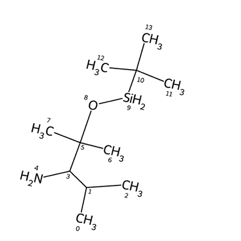 CC(C)C(N)C(C)(C)O[SiH2]C(C)(C)C